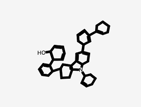 OC1C=CC=CC1C1=CC=CCC1C1CCC2=C(C1)C1=CC(C3C=C(C4=CCCCC4)C=CC3)=CCC1N2C1C=CCCC1